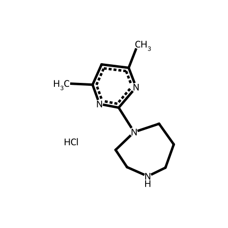 Cc1cc(C)nc(N2CCCNCC2)n1.Cl